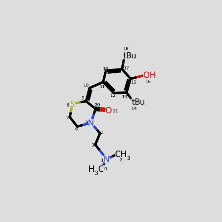 CN(C)CCN1CCS/C(=C/c2cc(C(C)(C)C)c(O)c(C(C)(C)C)c2)C1=O